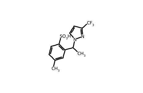 Cc1ccc(S(=O)(=O)O)c(C(C)n2ccc(C(F)(F)F)n2)c1